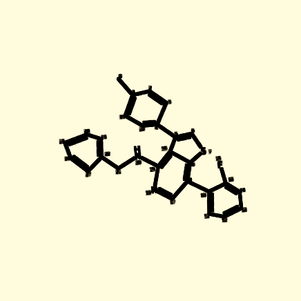 Cc1ccc(-c2csc3c(-c4ccccc4F)cnc(NCc4ccccc4)c23)cc1